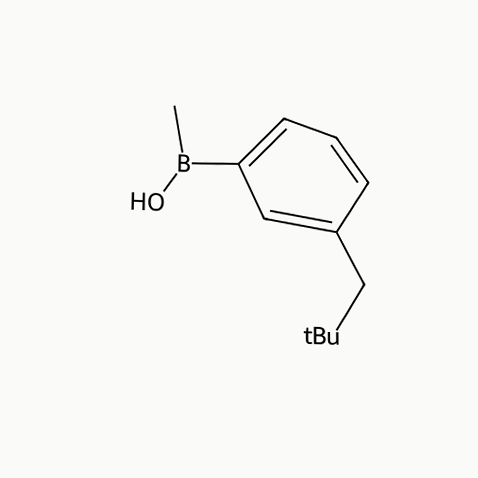 CB(O)c1cccc(CC(C)(C)C)c1